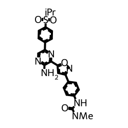 CNC(=O)Nc1ccc(-c2cc(-c3nc(-c4ccc(S(=O)(=O)C(C)C)cc4)cnc3N)on2)cc1